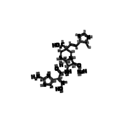 Cc1ncsc1C=CC1(C(=O)O)CS[C@@H]2C(NC(=O)C(=NO)c3csc(N)n3)C(=O)N2C1.[NaH]